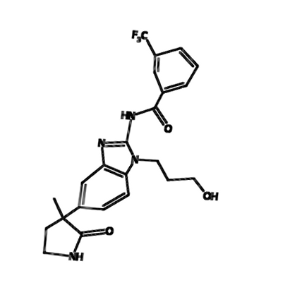 CC1(c2ccc3c(c2)nc(NC(=O)c2cccc(C(F)(F)F)c2)n3CCCO)CCNC1=O